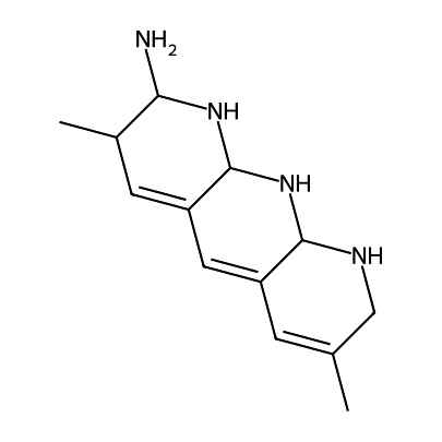 CC1=CC2=CC3=CC(C)C(N)NC3NC2NC1